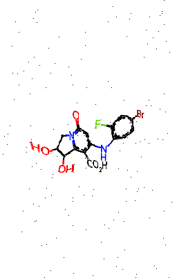 O=C(O)c1c(Nc2ccc(Br)cc2F)cc(=O)n2c1C(O)C(O)C2